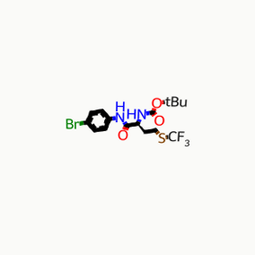 CC(C)(C)OC(=O)N[C@@H](CCSC(F)(F)F)C(=O)Nc1ccc(Br)cc1